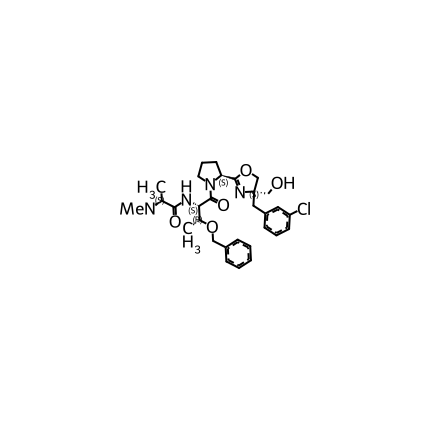 CN[C@@H](C)C(=O)N[C@H](C(=O)N1CCC[C@H]1C1=N[C@](CO)(Cc2cccc(Cl)c2)CO1)[C@@H](C)OCc1ccccc1